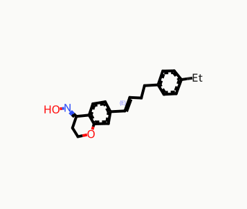 CCc1ccc(CC/C=C/c2ccc3c(c2)OCCC3=NO)cc1